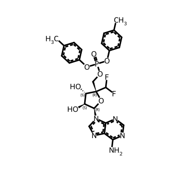 Cc1ccc(OP(=O)(OC[C@@]2(C(F)F)O[C@@H](n3cnc4c(N)ncnc43)[C@@H](O)[C@@H]2O)Oc2ccc(C)cc2)cc1